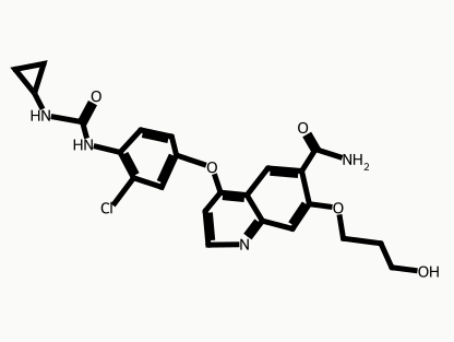 NC(=O)c1cc2c(Oc3ccc(NC(=O)NC4CC4)c(Cl)c3)ccnc2cc1OCCCO